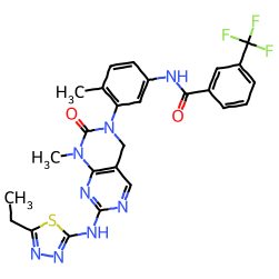 CCc1nnc(Nc2ncc3c(n2)N(C)C(=O)N(c2cc(NC(=O)c4cccc(C(F)(F)F)c4)ccc2C)C3)s1